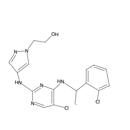 [CH2][C](Nc1nc(Nc2cnn(CCO)c2)ncc1Cl)c1ccccc1Cl